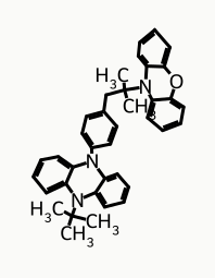 CC(C)(C)N1c2ccccc2N(c2ccc(CC(C)(C)N3c4ccccc4Oc4ccccc43)cc2)c2ccccc21